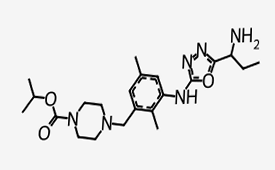 CCC(N)c1nnc(Nc2cc(C)cc(CN3CCN(C(=O)OC(C)C)CC3)c2C)o1